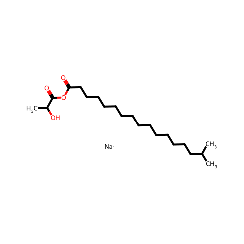 CC(C)CCCCCCCCCCCCCCC(=O)OC(=O)C(C)O.[Na]